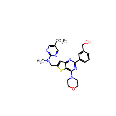 CCOC(=O)c1cnc(N(C)Cc2cc3nc(-c4cccc(CO)c4)nc(N4CCOCC4)c3s2)nc1